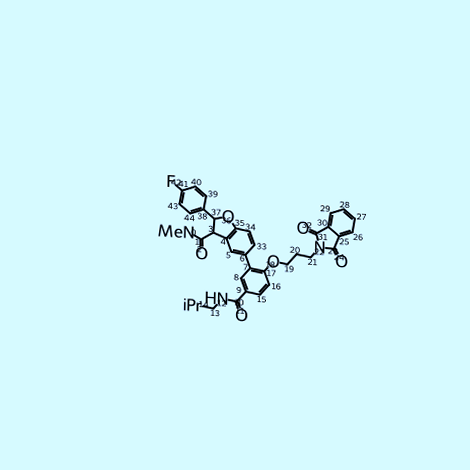 CNC(=O)C1c2cc(-c3cc(C(=O)NCC(C)C)ccc3OCCCN3C(=O)c4ccccc4C3=O)ccc2OC1c1ccc(F)cc1